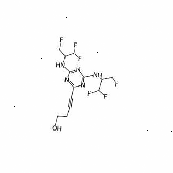 OCCC#Cc1nc(NC(CF)C(F)F)nc(NC(CF)C(F)F)n1